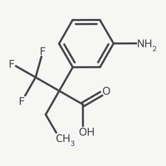 CCC(C(=O)O)(c1cccc(N)c1)C(F)(F)F